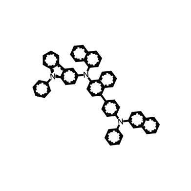 c1ccc(N(c2ccc(-c3ccc(N(c4ccc5c(c4)c4ccccc4n5-c4ccccc4)c4cccc5ccccc45)c4ccccc34)cc2)c2ccc3ccccc3c2)cc1